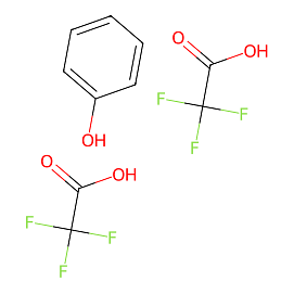 O=C(O)C(F)(F)F.O=C(O)C(F)(F)F.Oc1ccccc1